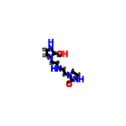 O=C1NCCN1CCNCCN1CCNC1O